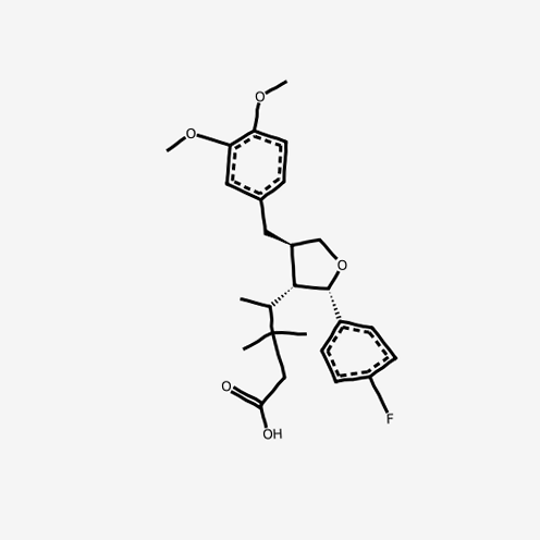 COc1ccc(C[C@H]2CO[C@H](c3ccc(F)cc3)[C@@H]2C(C)C(C)(C)CC(=O)O)cc1OC